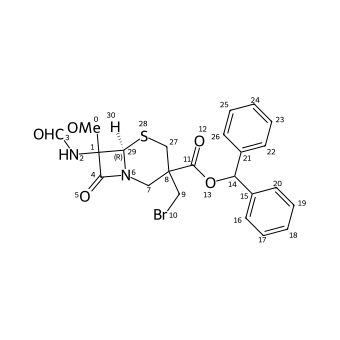 COC1(NC=O)C(=O)N2CC(CBr)(C(=O)OC(c3ccccc3)c3ccccc3)CS[C@@H]21